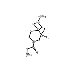 CNCC(=O)N1CCC2(CN(SC)C2)C(F)(F)C1